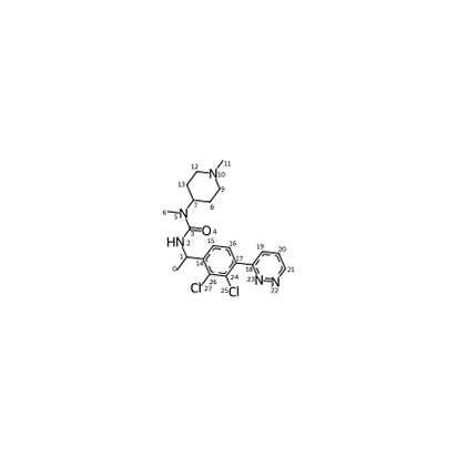 CC(NC(=O)N(C)C1CCN(C)CC1)c1ccc(-c2cccnn2)c(Cl)c1Cl